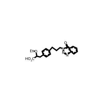 CCOC(Cc1ccc(CCCn2nnc3ccccc3c2=O)cc1)C(=O)O